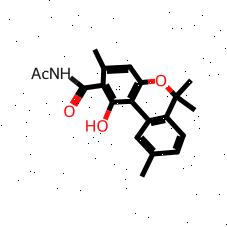 CC(=O)NC(=O)c1c(C)cc2c(c1O)-c1cc(C)ccc1C(C)(C)O2